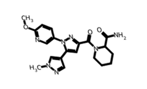 COc1ccc(-n2nc(C(=O)N3CCCCC3C(N)=O)cc2-c2cnn(C)c2)cn1